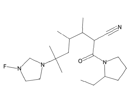 CCC1CCCN1C(=O)C(C#N)C(C)C(C)CC(C)(C)N1CCN(F)C1